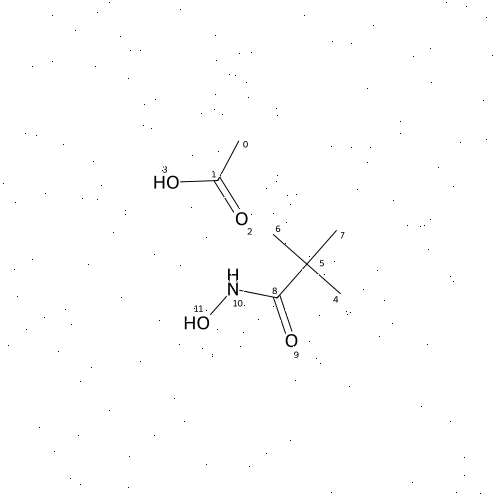 CC(=O)O.CC(C)(C)C(=O)NO